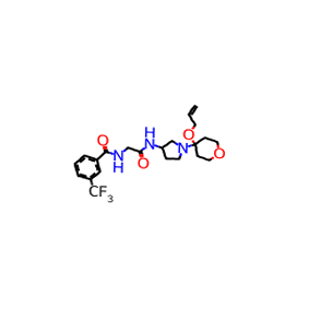 C=CCOC1(N2CCC(NC(=O)CNC(=O)c3cccc(C(F)(F)F)c3)C2)CCOCC1